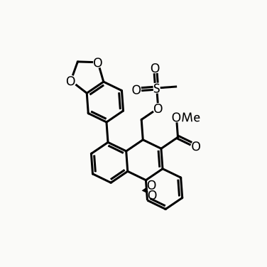 COC(=O)C1=C2C=CC=C3OCOC32c2cccc(-c3ccc4c(c3)OCO4)c2C1COS(C)(=O)=O